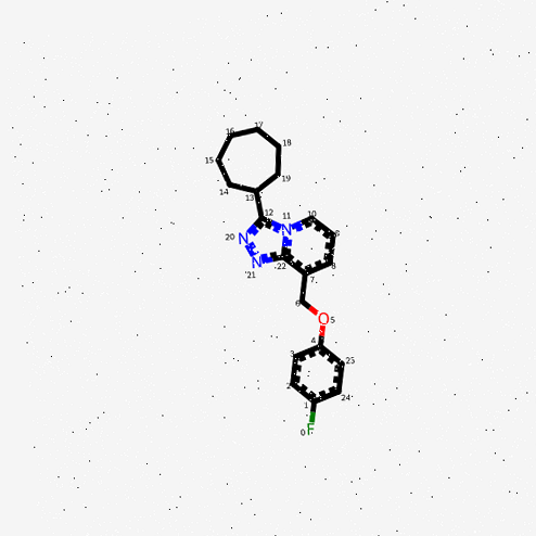 Fc1ccc(OCc2cccn3c(C4CCCCCC4)nnc23)cc1